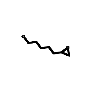 [O]CCCCCC1CO1